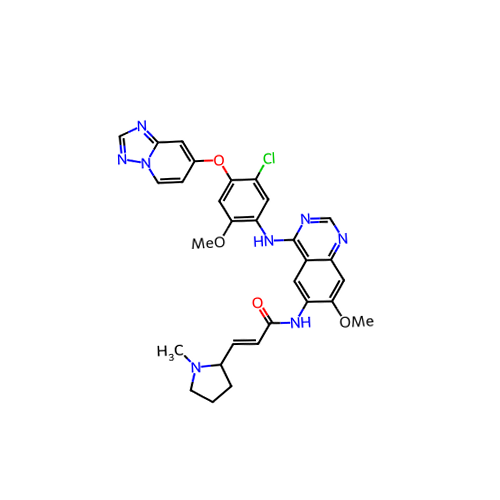 COc1cc2ncnc(Nc3cc(Cl)c(Oc4ccn5ncnc5c4)cc3OC)c2cc1NC(=O)C=CC1CCCN1C